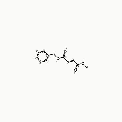 COC(=O)/C=C/C(=O)OCc1ccccc1